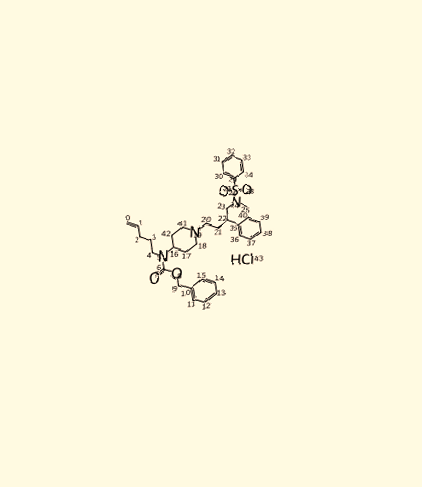 C=CCCCN(C(=O)OCc1ccccc1)C1CCN(CC[C@@H](CN(C)S(=O)(=O)c2ccccc2)c2ccccc2)CC1.Cl